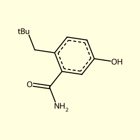 CC(C)(C)Cc1ccc(O)cc1C(N)=O